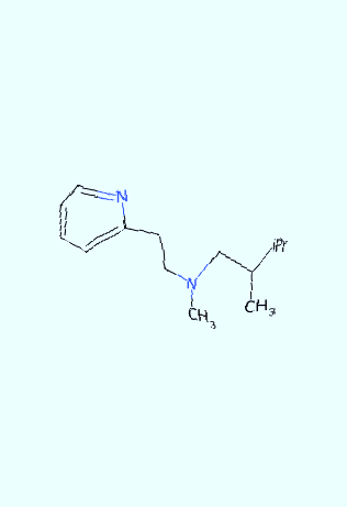 CC(C)C(C)CN(C)CCc1ccccn1